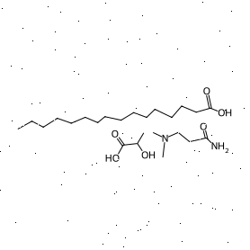 CC(O)C(=O)O.CCCCCCCCCCCCCCCC(=O)O.CN(C)CCC(N)=O